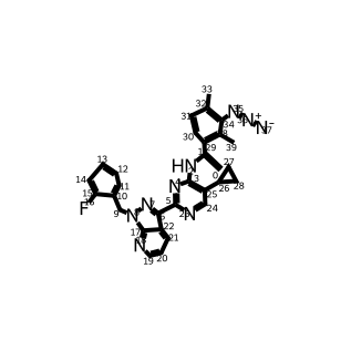 C=C(Nc1nc(-c2nn(Cc3ccccc3F)c3ncccc23)ncc1C1CC1)c1ccc(C)c(N=[N+]=[N-])c1C